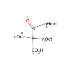 CCCCCCCCC(CCCCCCCC)(C(=O)O)C(=O)CCCCCCC